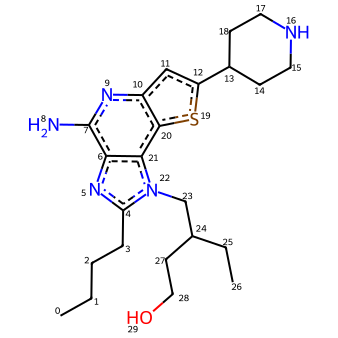 CCCCc1nc2c(N)nc3cc(C4CCNCC4)sc3c2n1CC(CC)CCO